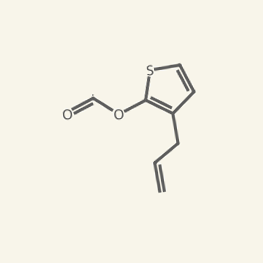 C=CCc1ccsc1O[C]=O